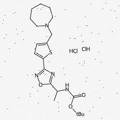 CC(NC(=O)OC(C)(C)C)c1nc(-c2ccc(CN3CCCCCC3)s2)no1.Cl.Cl